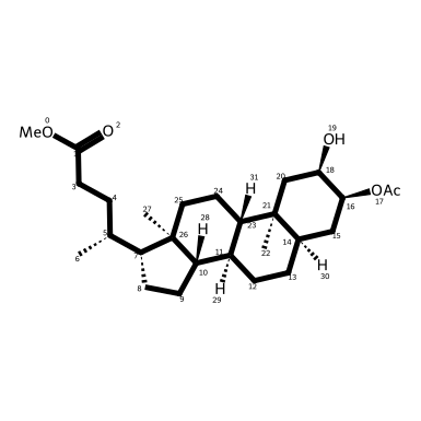 COC(=O)CC[C@@H](C)[C@H]1CC[C@H]2[C@@H]3CC[C@@H]4C[C@H](OC(C)=O)[C@H](O)C[C@]4(C)[C@H]3CC[C@]12C